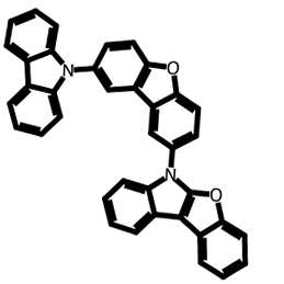 c1ccc2c(c1)oc1c2c2ccccc2n1-c1ccc2oc3ccc(-n4c5ccccc5c5ccccc54)cc3c2c1